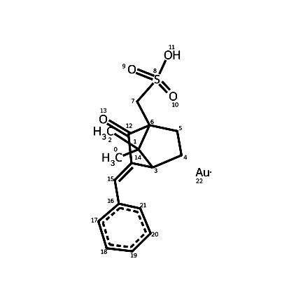 CC1(C)C2CCC1(CS(=O)(=O)O)C(=O)C2=Cc1ccccc1.[Au]